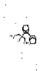 CC[Si](Cl)(CC)C1C2CCC(C2)C1C1CC2CCC1C2